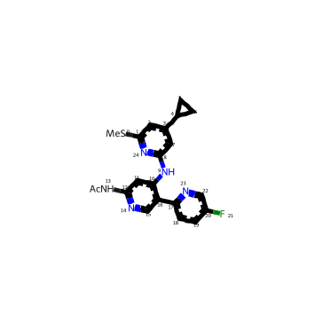 CSc1cc(C2CC2)cc(Nc2cc(NC(C)=O)ncc2-c2ccc(F)cn2)n1